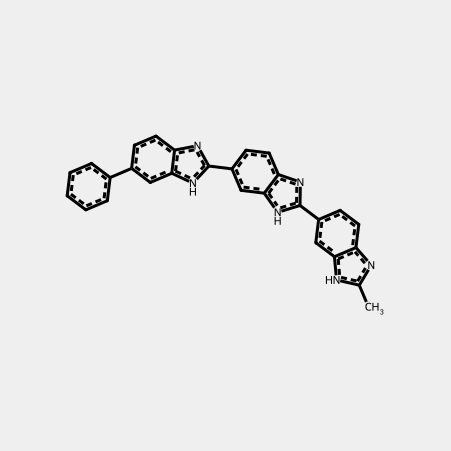 Cc1nc2ccc(-c3nc4ccc(-c5nc6ccc(-c7ccccc7)cc6[nH]5)cc4[nH]3)cc2[nH]1